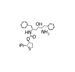 CC(C)[C@@H]1SCC[C@@H]1OC(=O)N[C@@H](Cc1ccccc1)C[C@H](O)[C@@H](N)Cc1ccccc1